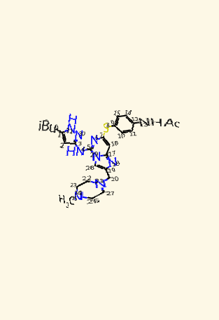 CCC(C)c1cc(Nc2nc(Sc3ccc(NC(C)=O)cc3)cc3nc(CN4CCN(C)CC4)cn23)n[nH]1